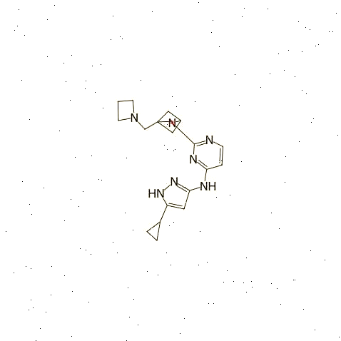 c1cc(Nc2cc(C3CC3)[nH]n2)nc(N2CC3(CN4CCC4)CC2C3)n1